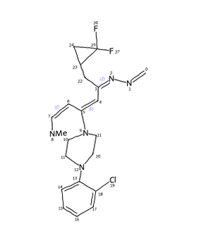 C=N\N=C(/C=C(\C=C/NC)N1CCN(c2ccccc2Cl)CC1)CC1CC1(F)F